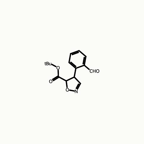 CC(C)(C)OC(=O)C1ON=CC1c1ccccc1C=O